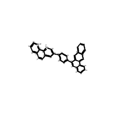 c1ccc2cc3c(cc2c1)c(-c1ccc(-c2cnc4c(ccc5cccnc54)c2)cc1)cc1ccccc13